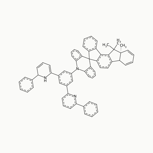 CC1(C)c2c(ccc3c2-c2ccccc2C32c3ccccc3N(c3cc(C4=CC=CC(c5ccccc5)N4)cc(-c4cccc(-c5ccccc5)n4)c3)c3ccccc32)C2C=CC=C[C@@]21C